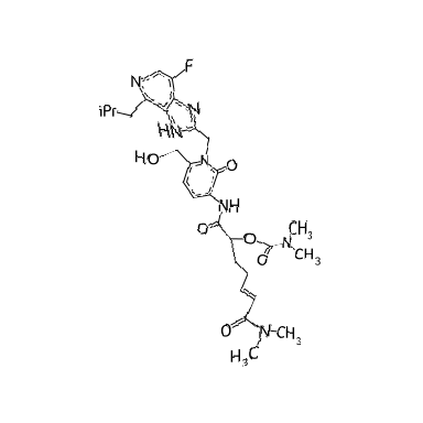 CC(C)Cc1ncc(F)c2nc(Cn3c(CO)ccc(NC(=O)C(CC/C=C/C(=O)N(C)C)OC(=O)N(C)C)c3=O)[nH]c12